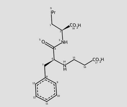 CC(C)C[C@H](NC(=O)[C@H](Cc1ccccc1)NCCC(=O)O)C(=O)O